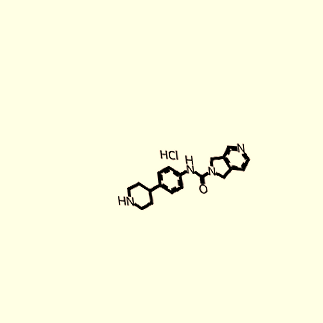 Cl.O=C(Nc1ccc(C2CCNCC2)cc1)N1Cc2ccncc2C1